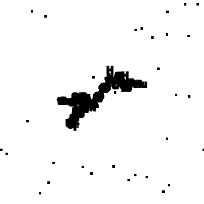 CC(C)C(NC(=O)OC(C)(C)C)C(=O)N1CCC[C@H]1c1nc(-c2ccc(-c3ccc(-c4cnc([C@@H]5C[C@@H](OC(=O)N6Cc7cccc(F)c7C6)CN5C(=O)[C@@H](NC(=O)OC(C)(C)C)C(C)C)[nH]4)cc3)cc2)c[nH]1